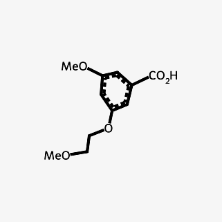 COCCOc1cc(OC)cc(C(=O)O)c1